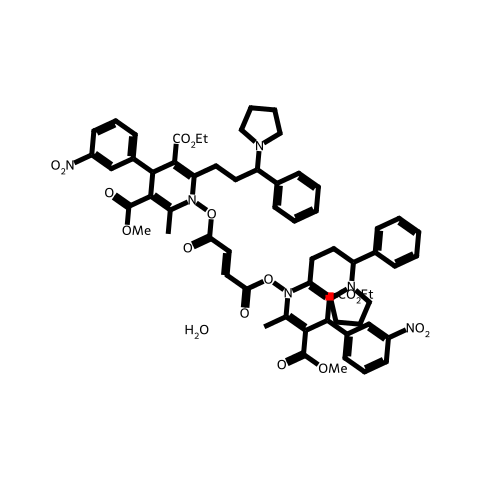 CCOC(=O)C1=C(CCC(c2ccccc2)N2CCCC2)N(OC(=O)/C=C/C(=O)ON2C(C)=C(C(=O)OC)C(c3cccc([N+](=O)[O-])c3)C(C(=O)OCC)=C2CCC(c2ccccc2)N2CCCC2)C(C)=C(C(=O)OC)C1c1cccc([N+](=O)[O-])c1.O